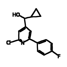 OC(c1cc(Cl)nc(-c2ccc(F)cc2)c1)C1CC1